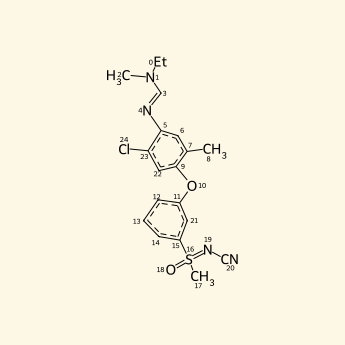 CCN(C)C=Nc1cc(C)c(Oc2cccc(S(C)(=O)=NC#N)c2)cc1Cl